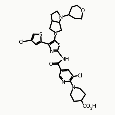 O=C(Nc1nc(-c2cc(Cl)cs2)c(N2CC3CCN(C4CCOCC4)C3C2)s1)c1cnc(N2CCC(C(=O)O)CC2)c(Cl)c1